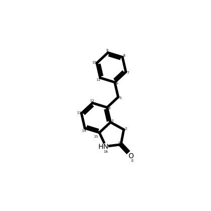 O=C1Cc2c(Cc3ccccc3)cccc2N1